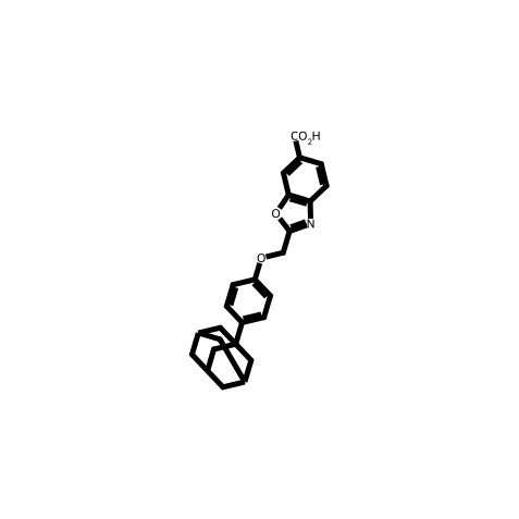 O=C(O)c1ccc2nc(COc3ccc(C45CC6CC(CC(C6)C4)C5)cc3)oc2c1